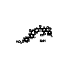 CCOc1cc(C(=O)N2CCC3(CC2)CC(=O)c2cc(-c4ccc(C(=O)O)cn4)ccc2O3)cc(OCC)c1-c1cnn(C)c1.[NaH]